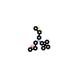 c1ccc(C2(c3ccccc3)c3ccccc3-c3cc(N(c4ccc(-c5ccc6sc7ccccc7c6c5)cc4)c4cccc(-c5cccc6c5oc5ccccc56)c4)ccc32)cc1